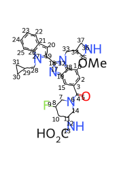 COc1cc(C(=O)N2CC(F)C[C@@H](NC(=O)O)C2)cc2nc(-c3cc4ccccc4n3CC3CC3)n(CC3CNC3)c12